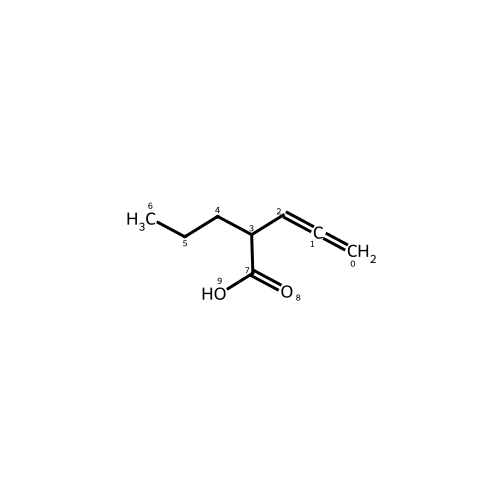 C=C=CC(CCC)C(=O)O